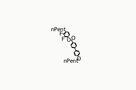 CCCCCOc1ccc(-c2ccc(C(=O)Oc3ccc(CCCCC)c(F)c3F)cc2)cc1